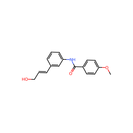 COc1ccc(C(=O)Nc2cccc(/C=C/CO)c2)cc1